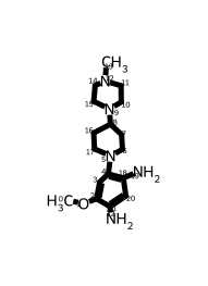 COc1cc(N2CCC(N3CCN(C)CC3)CC2)c(N)cc1N